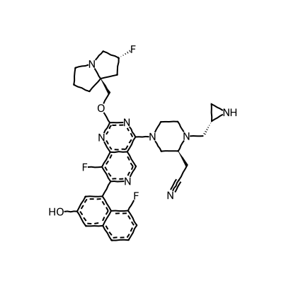 N#CC[C@H]1CN(c2nc(OC[C@@]34CCCN3C[C@H](F)C4)nc3c(F)c(-c4cc(O)cc5cccc(F)c45)ncc23)CCN1C[C@@H]1CN1